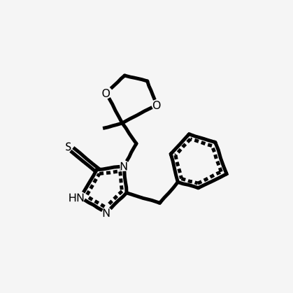 CC1(Cn2c(Cc3ccccc3)n[nH]c2=S)OCCO1